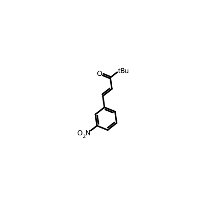 CC(C)(C)C(=O)C=Cc1cccc([N+](=O)[O-])c1